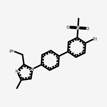 CCc1ccc(-c2ccc(-n3cc(C)nc3CC(C)C)cc2)cc1S(C)(=O)=O